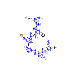 CCSc1nc(N)nc(NCCNc2nc(NCCNc3nc(NCCS)nc(NCCNc4ncnc(NCCNc5nc(N)nc(NCCNc6nc(C)nc(N)n6)n5)n4)n3)nc(Sc3ccccc3)n2)n1